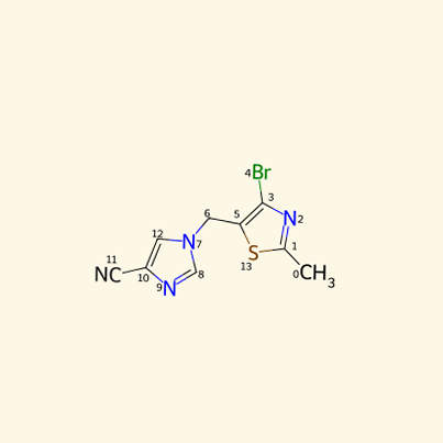 Cc1nc(Br)c(Cn2cnc(C#N)c2)s1